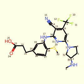 CN[C@@H]1CCN(c2cc(C(F)(F)F)c(C#N)c(Nc3cc(CCC(=O)O)ccc3SC)n2)C1